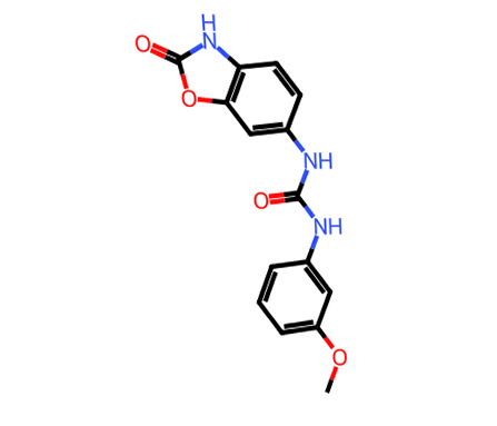 COc1cccc(NC(=O)Nc2ccc3[nH]c(=O)oc3c2)c1